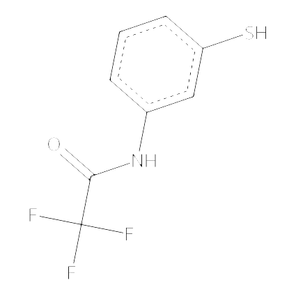 O=C(Nc1cccc(S)c1)C(F)(F)F